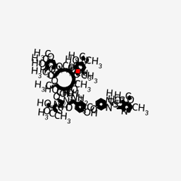 CC1(C)S[C@@H]2[C@H](NC(=O)[C@H](N)c3ccc(O)cc3)C(=O)N2[C@H]1C(=O)O.CC[C@H]1OC(=O)[C@H](C)[C@@H](O[C@H]2C[C@@](C)(OC)[C@@H](O)[C@H](C)O2)C(C)[C@@H](O[C@@H]2O[C@H](C)C[C@H](N(C)C)[C@H]2O)[C@](C)(OC)C[C@@H](C)C(=O)[C@H](C)[C@@H](O)[C@]1(C)O.COc1ccc2[nH]c([S+]([O-])Cc3ncc(C)c(OC)c3C)nc2c1